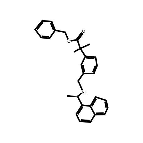 C[C@@H](NCc1cccc(C(C)(C)C(=O)OCc2ccccc2)c1)c1cccc2ccccc12